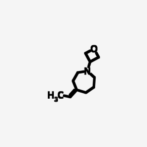 C/C=C1/CCCN(C2COC2)CC1